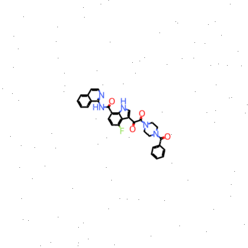 O=C(Nc1nccc2ccccc12)c1ccc(F)c2c(C(=O)C(=O)N3CCN(C(=O)c4ccccc4)CC3)c[nH]c12